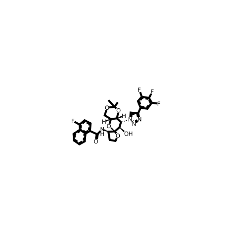 CC1(C)OC[C@H]2O[C@]3(OCC[C@H]3NC(=O)c3ccc(F)c4ccccc34)[C@H](O)[C@@H](n3cc(-c4cc(F)c(F)c(F)c4)nn3)[C@H]2O1